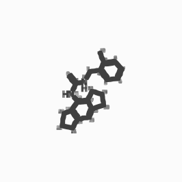 C=C(NCc1ccccc1C)Nc1c2c(cc3c1CCC3)CCC2